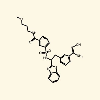 COCCCNC(=O)c1cccc(S(=O)(=O)NC(Cc2cccc(C(N)=NO)c2)c2nc3ccccc3s2)c1